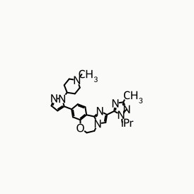 Cc1nc(-c2cn3c(n2)-c2ccc(-c4ccnn4C4CCN(C)CC4)cc2OCC3)n(C(C)C)n1